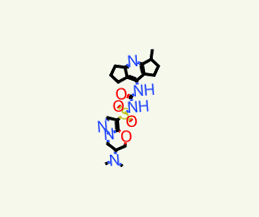 CC1CCc2c1nc1c(c2NC(=O)NS(=O)(=O)c2cnn3c2OCC(N(C)C)C3)CCC1